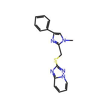 Cn1cc(-c2ccccc2)nc1CSc1nc2ccccn2n1